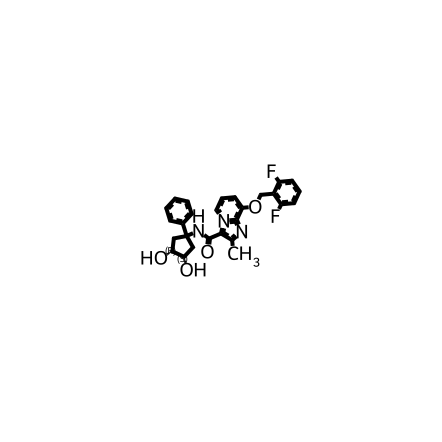 Cc1nc2c(OCc3c(F)cccc3F)cccn2c1C(=O)NC1(c2ccccc2)C[C@@H](O)[C@@H](O)C1